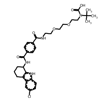 CC(C)(C)N(CCOCCOCCNC(=O)c1ccc(C(=O)NC2CCCc3c2[nH]c2ccc(Cl)cc32)cc1)C(=O)O